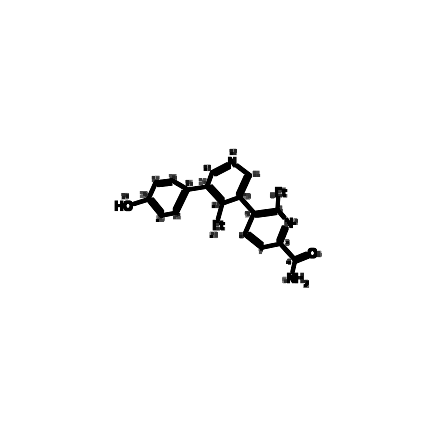 CCc1nc(C(N)=O)ccc1-c1cncc(-c2ccc(O)cc2)c1CC